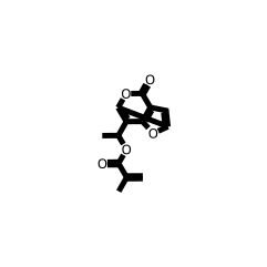 C=C(C)C(=O)OC(C)c1c2oc(=O)c3cc2oc13